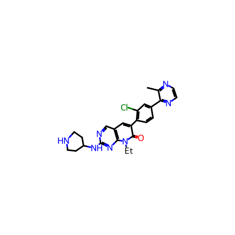 CCn1c(=O)c(-c2ccc(-c3nccnc3C)cc2Cl)cc2cnc(NC3CCNCC3)nc21